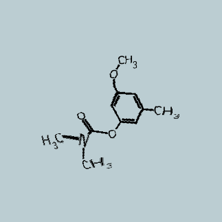 COc1cc(C)cc(OC(=O)N(C)C)c1